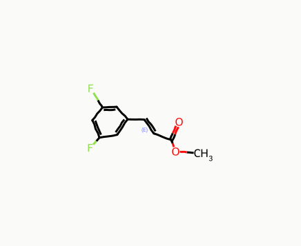 COC(=O)/C=C/c1cc(F)cc(F)c1